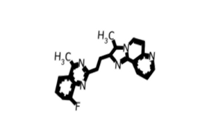 Cc1nc(CCC2N=C3c4cccnc4C=CN3C2C)nc2c(F)cccc12